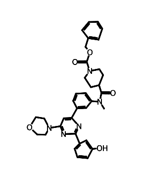 CN(C(=O)C1CCN(C(=O)OCc2ccccc2)CC1)c1cccc(-c2cc(N3CCOCC3)nc(-c3cccc(O)c3)n2)c1